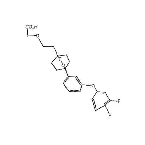 O=C(O)COCCC12CCC(c3cccc(Oc4ccc(F)c(F)c4)c3)(CC1)OC2